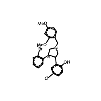 COc1ccc(CN2CC(c3cc(Cl)ccc3O)[C@@H](c3ccccc3Br)C2)c(OC)c1